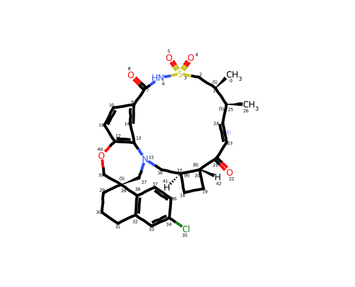 C[C@@H]1CS(=O)(=O)NC(=O)c2ccc3c(c2)N(C[C@@H]2CC[C@H]2C(=O)/C=C/[C@@H]1C)C[C@@]1(CCCc2cc(Cl)ccc21)CO3